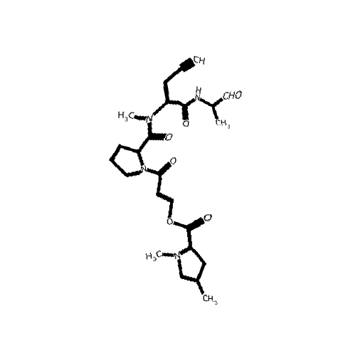 C#CCC(C(=O)NC(C)C=O)N(C)C(=O)C1CCCN1C(=O)CCOC(=O)C1CC(C)CN1C